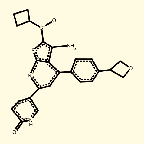 Nc1c([S+]([O-])C2CCC2)sc2nc(-c3ccc(=O)[nH]c3)cc(-c3ccc(C4COC4)cc3)c12